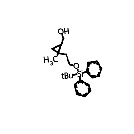 CC1(CCO[Si](c2ccccc2)(c2ccccc2)C(C)(C)C)CC1CO